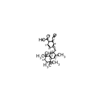 Cc1cc2c(cc1SC1=CC(=C=O)C(C(=O)O)C=C1)C(C)(C)CCC2(C)C